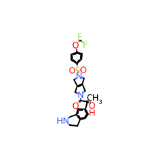 C[C@](O)(C(=O)N1CC2=C(C1)CN(S(=O)(=O)c1ccc(OC(F)F)cc1)C2)c1ccc2c(c1)CNCC2